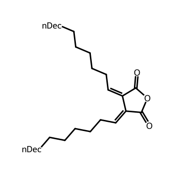 CCCCCCCCCCCCCCCC=C1C(=O)OC(=O)C1=CCCCCCCCCCCCCCCC